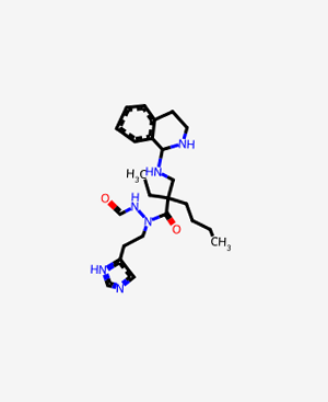 CCCCC(CC)(CNC1NCCc2ccccc21)C(=O)N(CCc1cnc[nH]1)NC=O